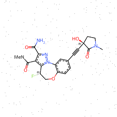 CNC(=O)c1c(C(N)=O)nn2c1[C@@H](F)COc1ccc(C#C[C@]3(O)CCN(C)C3=O)cc1-2